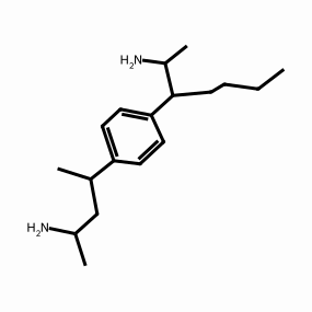 CCCCC(c1ccc(C(C)CC(C)N)cc1)C(C)N